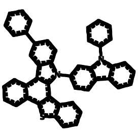 c1ccc(-c2ccc3c(c2)c2c4ccccc4c4sc5ccccc5c4c2n3-c2ccc3c4ccccc4n(-c4ccccc4)c3c2)cc1